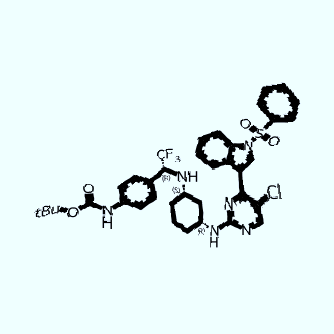 CC(C)(C)OC(=O)Nc1ccc([C@@H](N[C@H]2CCC[C@@H](Nc3ncc(Cl)c(-c4cn(S(=O)(=O)c5ccccc5)c5ccccc45)n3)C2)C(F)(F)F)cc1